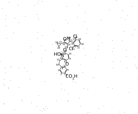 O=C(O)c1ccc2c(c1)Oc1ccc(OCc3c(-c4c(Cl)cccc4Cl)noc3C3CC3)[n+](O)c1CC2